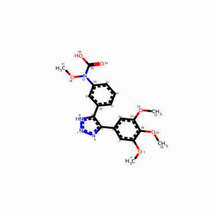 COc1cc(-c2nn[nH]c2-c2cccc(N(OC)C(=O)O)c2)cc(OC)c1OC